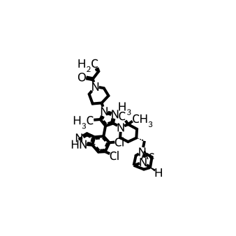 C=CC(=O)N1CCC(n2nc(N3CC[C@@H](CN4CC5C[C@@H](C4)N5C(C)=O)CC3(C)C)c(-c3c(Cl)c(Cl)cc4[nH]ncc34)c2C)CC1